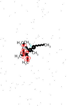 C=C(C)C(=O)OCCCc1cc(-c2ccc(CCCCCCCC)cc2F)c(CC)cc1OCC(COC(=O)C(=C)C)(COC(=O)C(=O)OC)COC(=O)C(=O)OC